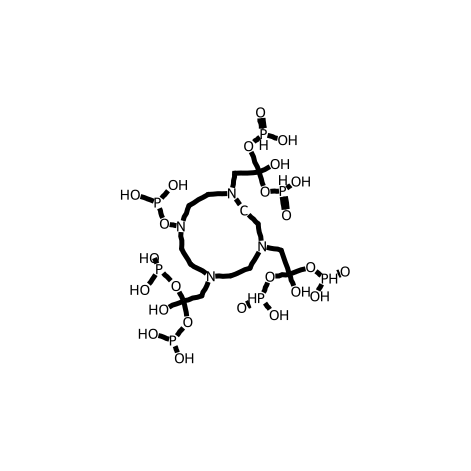 O=[PH](O)OC(O)(CN1CCN(CC(O)(OP(O)O)OP(O)O)CCN(OP(O)O)CCN(CC(O)(O[PH](=O)O)O[PH](=O)O)CC1)O[PH](=O)O